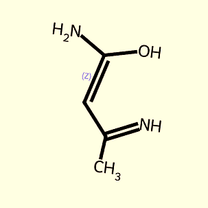 CC(=N)/C=C(/N)O